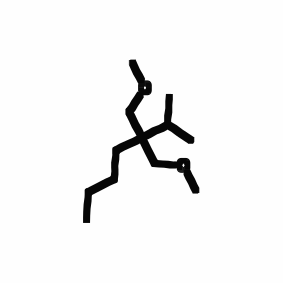 CCCCC(COC)(COC)C(C)C